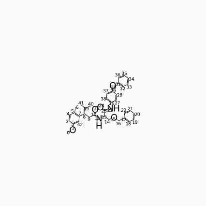 COc1ccc(C)c(C(CC(=O)NC(COCc2ccccc2)C(=O)Nc2ccc(Oc3ccccc3)cc2)=C(C)C)c1